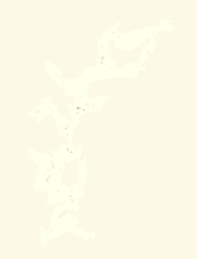 Cc1ccc(C(C)NC(=O)N2CCN(C(C)C)CC2)cc1